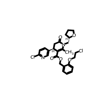 CC1=C(C(=O)OCc2ccccc2OCCCl)[C@@H](c2ccc(Cl)nc2)CC(=O)N1C[C@@H]1CCCO1